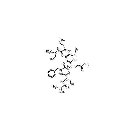 CC[C@H](C)[C@H](N)C(=O)N[C@@H](CO)C(=O)N[C@@H](Cc1ccccc1)C(=O)N[C@@H](CCC(N)=O)C(=O)N[C@@H](CC(C)C)C(=O)N[C@@H](CCSC)C(=O)N[C@@H](CC(C)C)C(=O)O